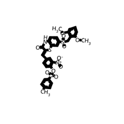 COc1cccc(OC)c1CS(=O)(=O)c1ccc2c(c1)SC(=Cc1ccc(OS(=O)(=O)c3ccc(C)cc3)c([N+](=O)[O-])c1)C(=O)N2